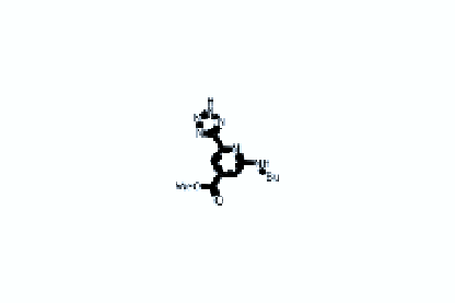 CCC(C)Nc1cc(C(=O)OC)cc(-c2nn[nH]n2)n1